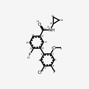 COc1cc(C)c(Cl)cc1-c1cc(C(=O)NC2CC2)ccc1F